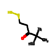 CCCCC(C)(CC)C(=O)CCSS